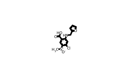 C[S+]([O-])c1cc(C(=O)O)c(NCc2ccco2)cc1Cl